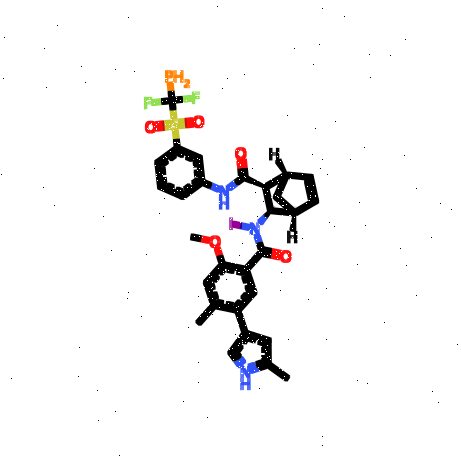 COc1cc(C)c(-c2c[nH]c(C)c2)cc1C(=O)N(I)[C@H]1[C@@H](C(=O)Nc2cccc(S(=O)(=O)C(F)(F)P)c2)[C@@H]2C=C[C@H]1C2